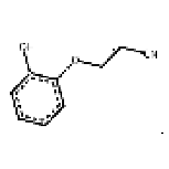 N#CCCOc1ccccc1O